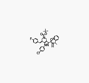 CC(NC(=O)c1nn(-c2ccc(Cl)cc2)c2c1CN(C(=O)OC(C)(C)C)C/C2=C\c1ccc(F)cc1)c1ccccn1